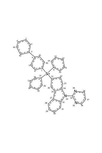 c1ccc(-c2ccc([Si](c3ccccc3)(c3ccccc3)c3ccc4c(c3)c3ccccc3n4-c3ncccn3)cc2)cc1